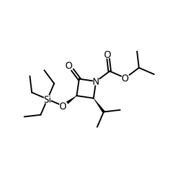 CC[Si](CC)(CC)O[C@H]1C(=O)N(C(=O)OC(C)C)[C@H]1C(C)C